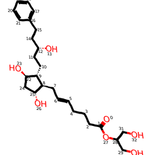 O=C(CCCC=CC[C@@H]1[C@@H](CC[C@@H](O)CCc2ccccc2)[C@H](O)C[C@H]1O)OC(CO)CO